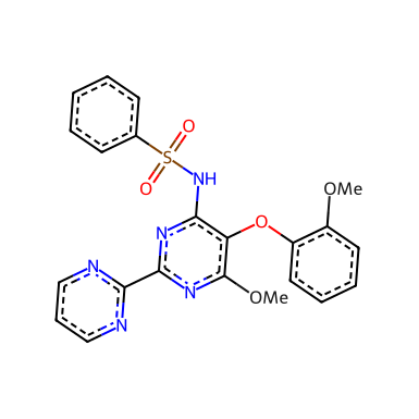 COc1ccccc1Oc1c(NS(=O)(=O)c2ccccc2)nc(-c2ncccn2)nc1OC